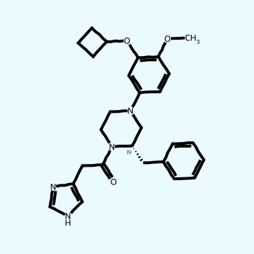 COc1ccc(N2CCN(C(=O)Cc3c[nH]cn3)[C@@H](Cc3ccccc3)C2)cc1OC1CCC1